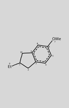 CCC1Cc2ccc(OC)cc2C1